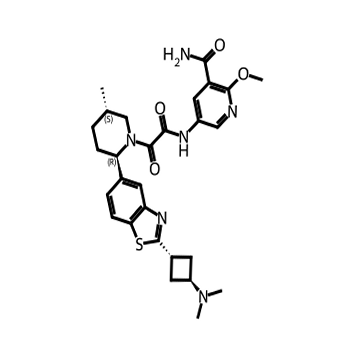 COc1ncc(NC(=O)C(=O)N2C[C@@H](C)CC[C@@H]2c2ccc3sc([C@H]4C[C@H](N(C)C)C4)nc3c2)cc1C(N)=O